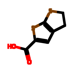 O=C(O)c1cc2c(s1)SCC2